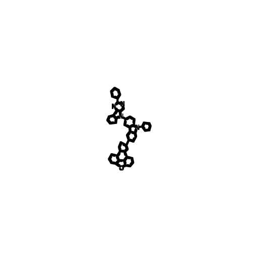 c1ccc(-c2ncc3c(n2)c2ccccc2n3-c2ccc3c(c2)c2cc(-c4ccc5c(c4)c4cccc6oc7cccc5c7c64)ccc2n3-c2ccccc2)cc1